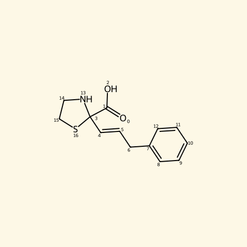 O=C(O)C1(C=CCc2ccccc2)NCCS1